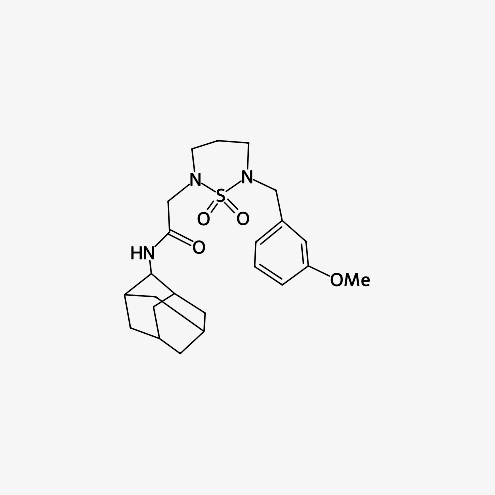 COc1cccc(CN2CCCN(CC(=O)NC3C4CC5CC(C4)CC3C5)S2(=O)=O)c1